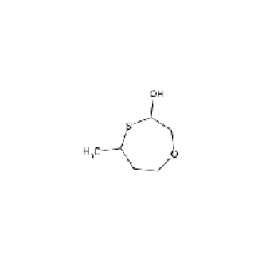 CC1CCOCC(O)S1